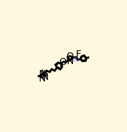 Cc1ccc(/C=C/c2nc(COc3ccc(CCCCn4nnc(C)n4)cc3)co2)c(F)c1